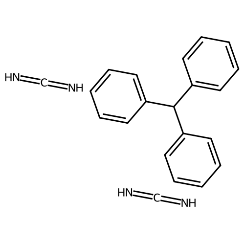 N=C=N.N=C=N.c1ccc(C(c2ccccc2)c2ccccc2)cc1